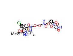 CO[C@@H](O)C[C@H]1C=C(c2ccc(Cl)cc2)c2c(sc(C(=O)NCCOCCOCCNC(=O)COc3cccc4c3C(=O)N(C3CCC(=O)NC3=O)C4=O)c2C)-n2c(C)nnc21